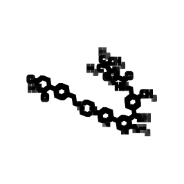 Cc1cc(C(=N)c2cc(-c3ccc(N4CCN(CCc5ccc(C6CCC(=O)NC6=O)cc5)CC4)cn3)cnc2N)ccc1CNC(=O)c1noc(C(C)(C)C)n1